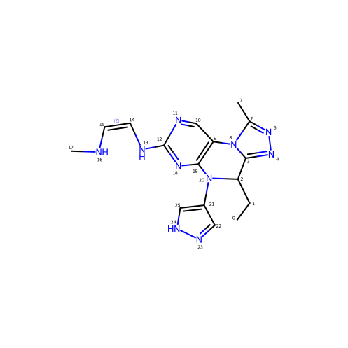 CCC1c2nnc(C)n2-c2cnc(N/C=C\NC)nc2N1c1cn[nH]c1